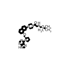 CC(C)(C)OCNCC(=O)N1CCN(c2ccc3cccc(OC[C@H]4CCCN4c4ncnc5[nH]cnc45)c3c2)CC1